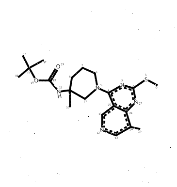 CSc1nc(N2CCCC(C)(NC(=O)OC(C)(C)C)C2)c2cncc(C)c2n1